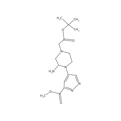 COC(=O)c1cc(N2CCN(CC(=O)OC(C)(C)C)CC2N)cnn1